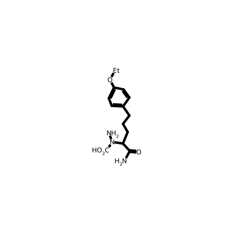 CCOc1ccc(CCCC(C(N)=O)N(N)C(=O)O)cc1